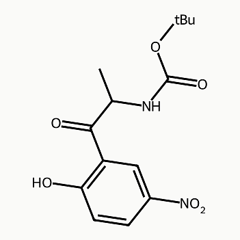 CC(NC(=O)OC(C)(C)C)C(=O)c1cc([N+](=O)[O-])ccc1O